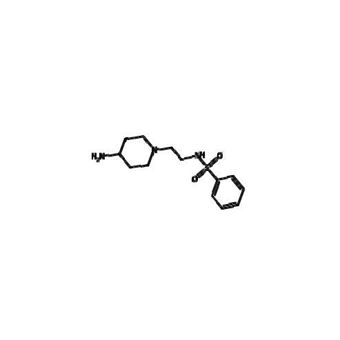 NC1CCN(CCNS(=O)(=O)c2ccccc2)CC1